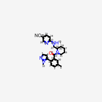 Cc1ccc(-c2ccnn2C)c(C(=O)N2CCC[C@@H](C)C2CNc2ccc(C#N)cn2)c1